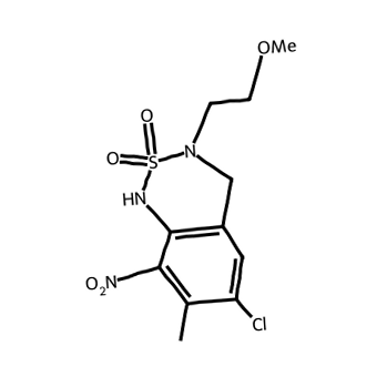 COCCN1Cc2cc(Cl)c(C)c([N+](=O)[O-])c2NS1(=O)=O